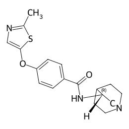 Cc1ncc(Oc2ccc(C(=O)N[C@H]3CN4CCC3CC4)cc2)s1